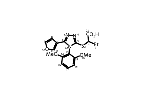 CCC(Sc1nnc(-c2ccoc2)n1-c1c(OC)cccc1OC)C(=O)O